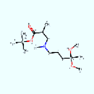 CCO[Si](C)(CCCN(CC)CC(C)C(=O)O[Si](C)(C)C(C)(C)C)OCC